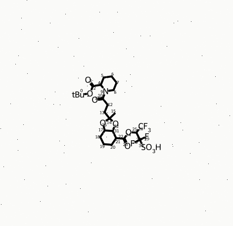 CC(C)(C)OC(=O)C1CCCCN1C(=O)CCC1(C)OC2CCCC(C(=O)OC(C(F)(F)F)C(F)(F)S(=O)(=O)O)C2O1